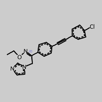 CCO/N=C(\Cn1ccnc1)c1ccc(C#Cc2ccc(Cl)cc2)cc1